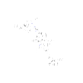 CO[C@@H](C[C@@H]1CC[C@@H](C)[C@](O)(C(=O)C(=O)N2CCCC[C@H]2C=O)O1)/C(C)=C/C=C/C=C/[C@@H](C)C[C@@H](C)C(=O)[C@H](OC)[C@H](O)/C(C)=C/[C@@H](C)C(=O)C[C@H](O)CC[C@@H]1CC[C@@H](O)[C@H](OC)C1